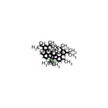 CCc1ccc2c(c1-c1cc(C(C)C)cc(C(C)C)c1)C=C(CC(C)C)[CH]2[Zr]([Cl])([Cl])([CH]1C(CC(C)C)=Cc2c1ccc(CC)c2-c1cc(C(C)C)cc(C(C)C)c1)[SiH](C)C